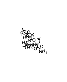 CC(C)(C)NC(=O)N[C@H](C(=O)N1C[C@H]2[C@@H]([C@H]1C(=O)N[C@H](CC1CC1)C(=O)C(N)=O)C2(C)C)C(C)(C)C